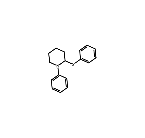 c1ccc(SC2CCCCN2c2ccccc2)cc1